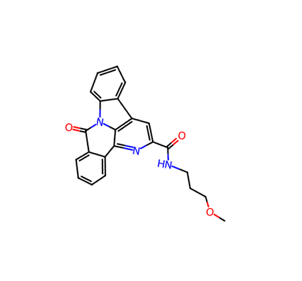 COCCCNC(=O)c1cc2c3ccccc3n3c(=O)c4ccccc4c(n1)c23